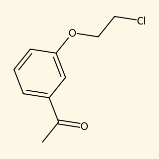 CC(=O)c1cccc(OCCCl)c1